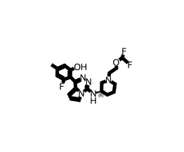 Cc1cc(O)c(-c2nnc(N[C@@H]3CCCN(CCOC(F)F)C3)n3cccc23)c(F)c1